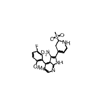 COc1ccc(F)cc1-c1ccnc2[nH]c(C3=CCNC(S(C)(=O)=O)C3)c([N+](=O)[O-])c12